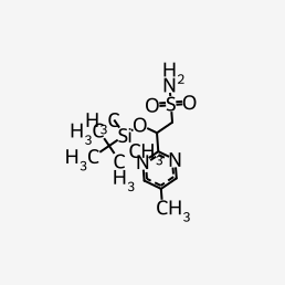 Cc1cnc(C(CS(N)(=O)=O)O[Si](C)(C)C(C)(C)C)nc1